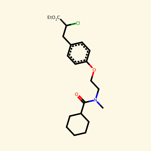 CCOC(=O)C(Cl)Cc1ccc(OCCN(C)C(=O)C2CCCCC2)cc1